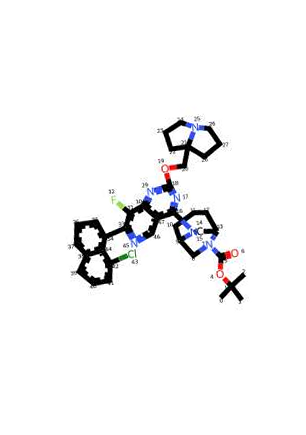 CC(C)(C)OC(=O)N1CC2CCCC1CN2c1nc(OCC23CCCN2CCC3)nc2c(F)c(-c3cccc4cccc(Cl)c34)ncc12